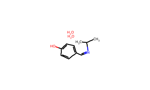 CC(C)/N=C\c1ccc(O)cc1.O.O